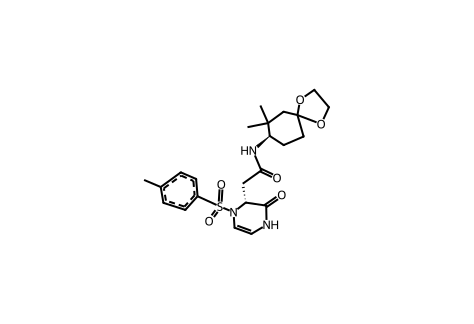 Cc1ccc(S(=O)(=O)N2C=CNC(=O)[C@H]2CC(=O)N[C@@H]2CCC3(CC2(C)C)OCCO3)cc1